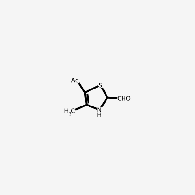 CC(=O)C1=C(C)NC(C=O)S1